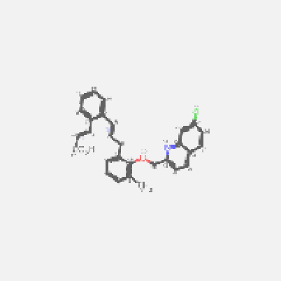 Cc1cccc(C/C=C/c2ccccc2/C=C/C(=O)O)c1OCc1ccc2ccc(Cl)cc2n1